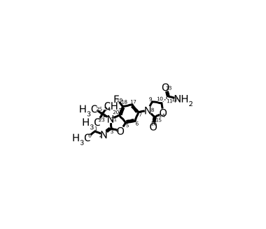 CC/N=c1/oc2cc(N3C[C@H](C(N)=O)OC3=O)cc(F)c2n1C(C)(C)C